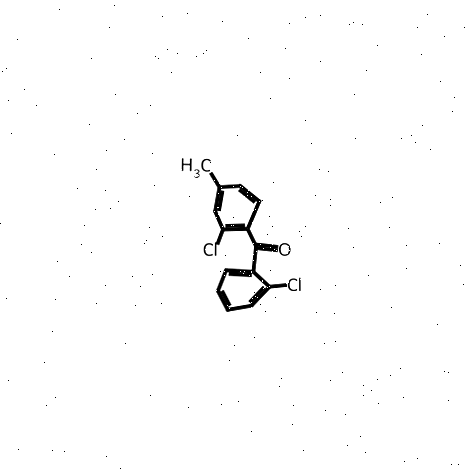 Cc1ccc(C(=O)c2ccccc2Cl)c(Cl)c1